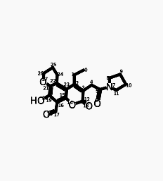 CCc1c(CC(=O)N2CCCC2)c(=O)oc2c(C=O)c(O)c3c(c12)CCCO3